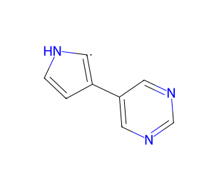 [c]1[nH]ccc1-c1cncnc1